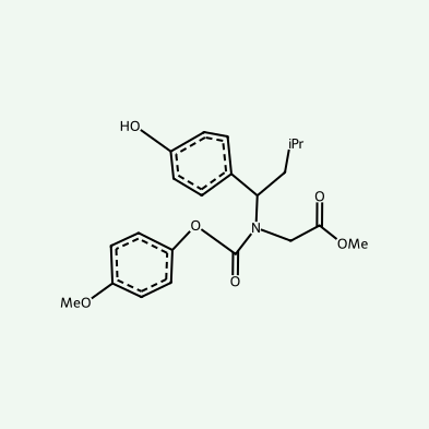 COC(=O)CN(C(=O)Oc1ccc(OC)cc1)C(CC(C)C)c1ccc(O)cc1